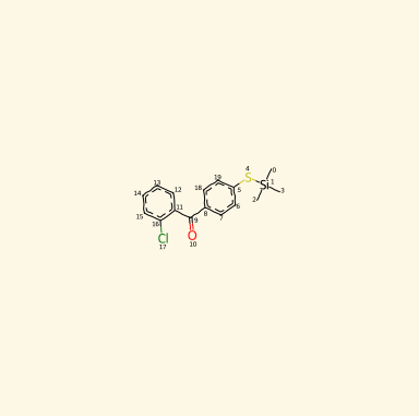 C[Si](C)(C)Sc1ccc(C(=O)c2ccccc2Cl)cc1